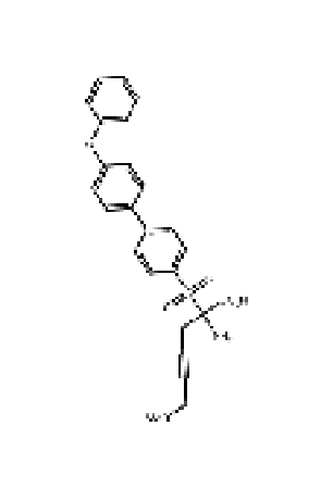 COCC#CCC(N)(C(=O)O)S(=O)(=O)c1ccc(-c2ccc(Oc3ccccc3)cc2)cc1